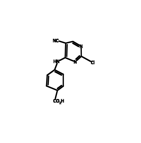 N#Cc1cnc(Cl)nc1Nc1ccc(C(=O)O)cc1